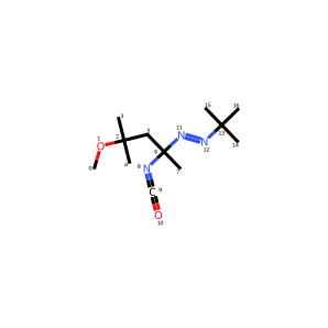 COC(C)(C)CC(C)(N=C=O)N=NC(C)(C)C